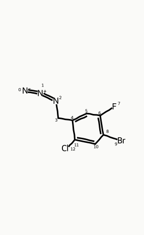 [N-]=[N+]=NCc1cc(F)c(Br)cc1Cl